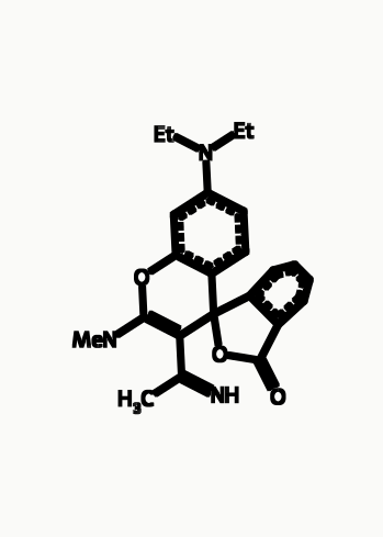 CCN(CC)c1ccc2c(c1)OC(NC)=C(C(C)=N)C21OC(=O)c2ccccc21